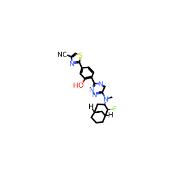 CN(c1cnc(-c2ccc(-c3nc(C#N)cs3)cc2O)nn1)[C@@H]1C[C@H]2CCC[C@H](C2)[C@@H]1F